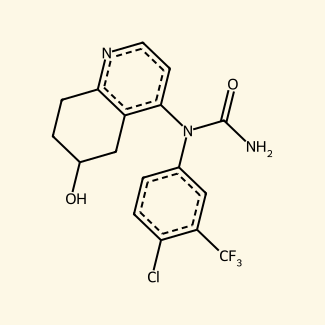 NC(=O)N(c1ccc(Cl)c(C(F)(F)F)c1)c1ccnc2c1CC(O)CC2